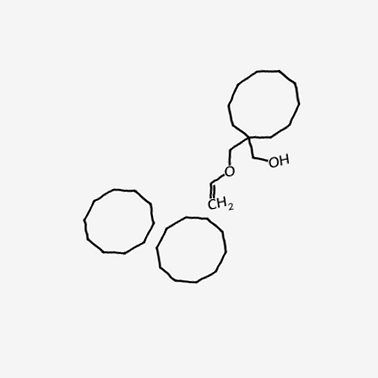 C1CCCCCCCCC1.C1CCCCCCCCC1.C=COCC1(CO)CCCCCCCCC1